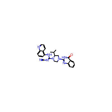 CC(C)C1CN(c2nc3ccccc3c(=O)[nH]2)CCN1/C(=N/C#N)Nc1cccc2ncccc12